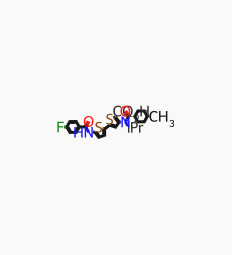 CC(C)N(c1cc(-c2ccc(NC(=O)c3ccc(F)cc3)s2)sc1C(=O)O)C(=O)[C@H]1CC[C@H](C)CC1